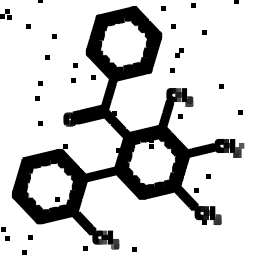 [CH2]c1c(C)cc(-c2ccccc2C)c(C(=O)c2ccccc2)c1C